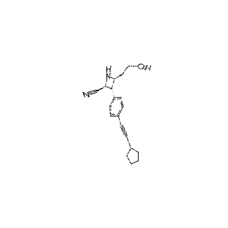 N#C[C@H]1N[C@@H](CCO)[C@@H]1c1ccc(C#CC2CCCC2)cc1